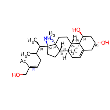 CC(=O)/C(=C\CC(C)[C@@H](C)[C@@]1(N)CC[C@H]2[C@@H]3CC=C4C[C@@H](O)C[C@H](O)[C@]4(C)[C@H]3CC[C@@]21C)CO